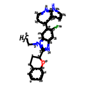 CCn1c(C2CCc3ccccc3O2)nc2cc(F)c(-c3ccnc4[nH]ccc34)cc21